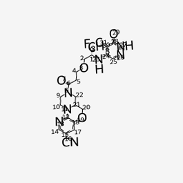 C[C@@H](COCCC(=O)N1CCN2c3ncc(C#N)cc3OCC2C1)Nc1cn[nH]c(=O)c1C(F)(F)F